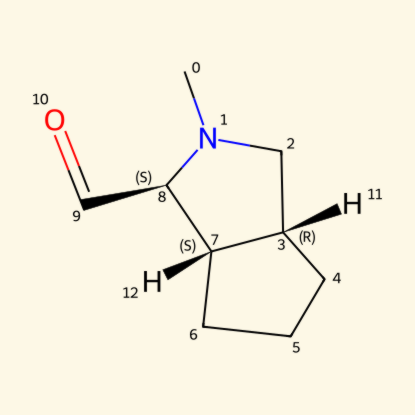 CN1C[C@@H]2CCC[C@@H]2[C@H]1C=O